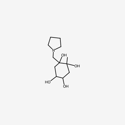 CC1(O)CC(O)C(O)CC1(O)CN1CCCC1